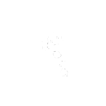 CC(N)N(C(=O)C(N)c1ccc(C(=O)Nc2ccncc2)cc1)S(C)(=O)=O